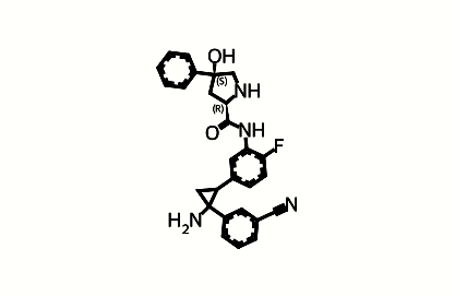 N#Cc1cccc(C2(N)CC2c2ccc(F)c(NC(=O)[C@H]3C[C@](O)(c4ccccc4)CN3)c2)c1